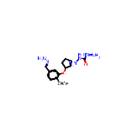 COc1ccc(C=NN)cc1OC1CCCC1.NNC(=O)NN